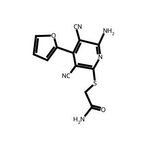 N#Cc1c(N)nc(SCC(N)=O)c(C#N)c1-c1ccco1